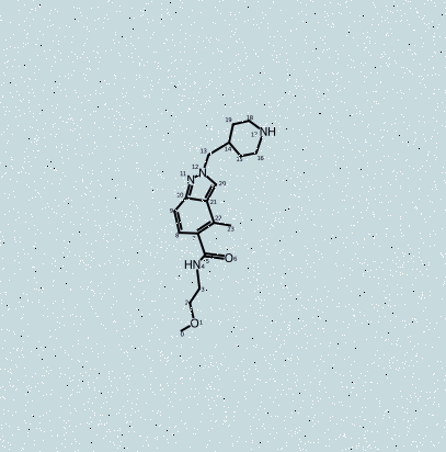 COCCNC(=O)c1ccc2nn(CC3CCNCC3)cc2c1C